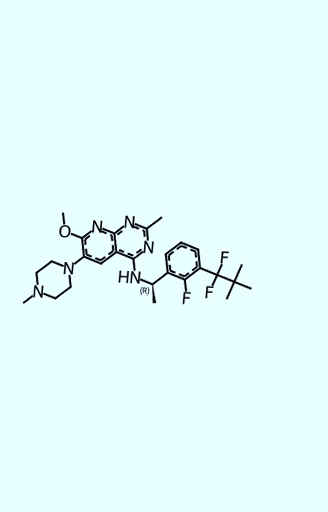 COc1nc2nc(C)nc(N[C@H](C)c3cccc(C(F)(F)C(C)(C)C)c3F)c2cc1N1CCN(C)CC1